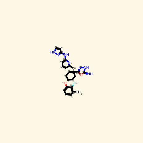 Cc1cccc(O[C@H]2CC[C@](Cc3cccc(Nc4cc[nH]n4)n3)(c3n[nH]c(=N)o3)CC2)c1F